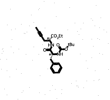 CC#CC[C@@H](NC(=O)[C@@H](Cc1ccccc1)NC(=O)OC(C)(C)C)C(=O)OCC